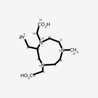 CC(C)CC1CN(CC(=O)O)CCN(C)CCN1CC(=O)O